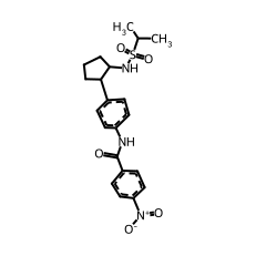 CC(C)S(=O)(=O)NC1CCCC1c1ccc(NC(=O)c2ccc([N+](=O)[O-])cc2)cc1